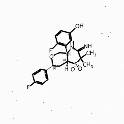 CC1(C)C(=N)N[C@@]2(c3cc(O)ccc3F)CO[C@@H](c3ccc(F)cc3)C[C@H]2S1(=O)=O